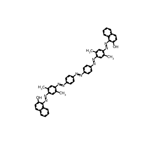 Cc1cc(N=Nc2c(O)ccc3ccccc23)c(C)cc1N=Nc1ccc(N=Nc2ccc(N=Nc3cc(C)c(N=Nc4c(O)ccc5ccccc45)cc3C)cc2)cc1